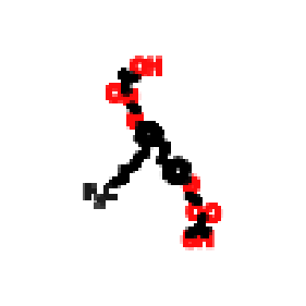 C=C(CO)C(=O)OCCOc1ccc(CCc2ccc(OCCOC(=O)C(=C)CO)cc2CCCCCCC(F)(F)F)cc1